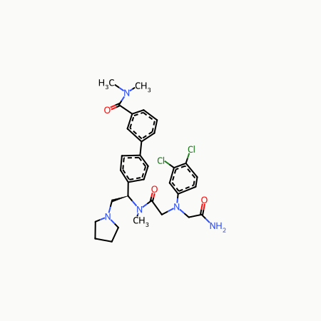 CN(C)C(=O)c1cccc(-c2ccc([C@H](CN3CCCC3)N(C)C(=O)CN(CC(N)=O)c3ccc(Cl)c(Cl)c3)cc2)c1